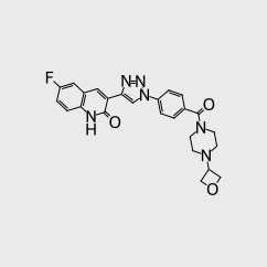 O=C(c1ccc(-n2cc(-c3cc4cc(F)ccc4[nH]c3=O)nn2)cc1)N1CCN(C2COC2)CC1